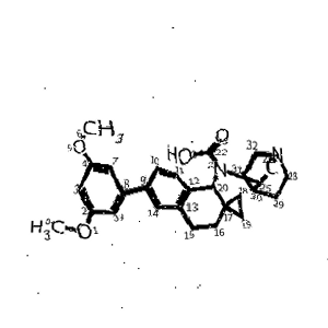 COc1cc(OC)cc(-c2ccc3c(c2)CCC2(CC2)[C@@H]3N(C(=O)O)C2CN3CCC2CC3)c1